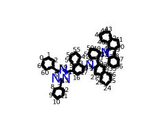 c1ccc(-c2nc(-c3ccccc3)nc(-c3ccc(-n4c5cc6ccccc6cc5c5c(-n6c7ccccc7c7ccc8ccccc8c76)cccc54)c4ccccc34)n2)cc1